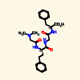 CN(C)CC(=O)N[C@@H](CCc1ccccc1)C(=O)NCC(=O)N[C@@H](Cc1ccccc1)C(=O)O